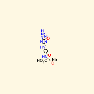 Nc1nc2ncc(CNc3ccc(C(=O)N[C@@H](CC[C](=O)[Nb])C(=O)O)cc3)nc2c(=O)[nH]1